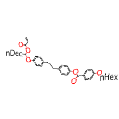 C=CC(=O)OC(CCCCCCCCCC)Oc1ccc(CCc2ccc(OC(=O)c3ccc(OCCCCCC)cc3)cc2)cc1